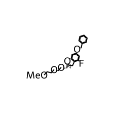 COCCOCOC[C@H]1Cc2c(F)cc(OCc3ccccc3)cc2O1